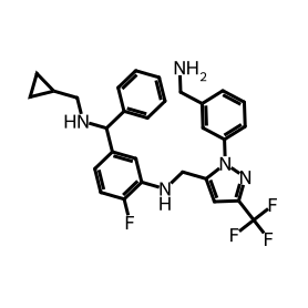 NCc1cccc(-n2nc(C(F)(F)F)cc2CNc2cc(C(NCC3CC3)c3ccccc3)ccc2F)c1